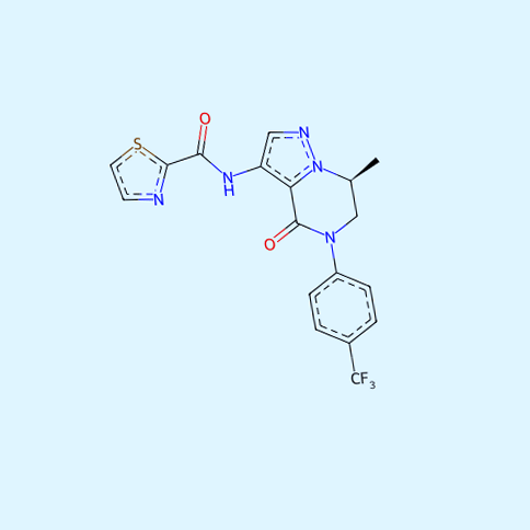 C[C@H]1CN(c2ccc(C(F)(F)F)cc2)C(=O)c2c(NC(=O)c3nccs3)cnn21